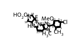 COc1cc(Cl)cc(C)c1-c1nc2nc(NC3CN(C(=O)O)CC3(F)F)ccc2n1C